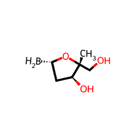 B[C@H]1C[C@H](O)[C@@](C)(CO)O1